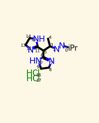 CC(C)N=NC(C)C(C1=NCCN1)C1=NCCN1.Cl.Cl